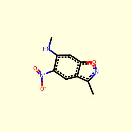 CNc1cc2onc(C)c2cc1[N+](=O)[O-]